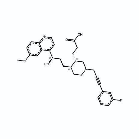 COc1ccc2nccc([C@H](O)CC[C@@H]3CCN(CC#Cc4cccc(F)c4)C[C@H]3CCC(=O)O)c2c1